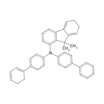 CC1(C)C2=CCCC=C2c2cccc(N(c3ccc(C4=CC=CCC4)cc3)c3ccc(-c4ccccc4)cc3)c21